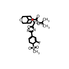 CC(C)OC(=O)N1CC2COCC(C1)C2O[C@H](C)c1nc(C2=CCC(S(C)(=O)=O)C(F)=C2)no1